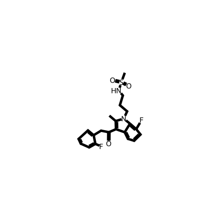 Cc1c(C(=O)Cc2ccccc2F)c2cccc(F)c2n1CCCNS(C)(=O)=O